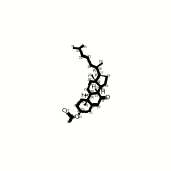 CC(=O)O[C@H]1CC[C@@]2(C)C(=CC(=O)[C@H]3[C@@H]4CC[C@H]([C@H](C)CCCC(C)C)[C@@]4(C)CC[C@@H]32)C1